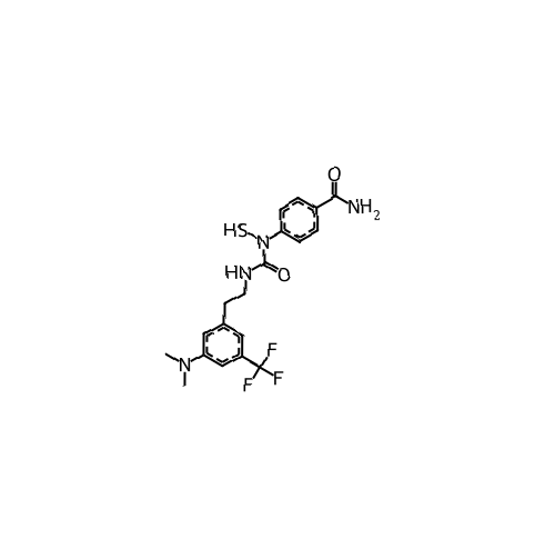 CN(C)c1cc(CCNC(=O)N(S)c2ccc(C(N)=O)cc2)cc(C(F)(F)F)c1